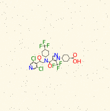 O=C(CN(C(=O)c1cnn([C@H]2CC[C@H](C(=O)O)CC2)c1C(F)(F)F)[C@H]1CC[C@H](C(F)(F)F)CC1)c1c(Cl)cncc1Cl